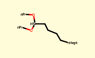 CCCCCCCCCCC[SiH](OCCC)OCCC